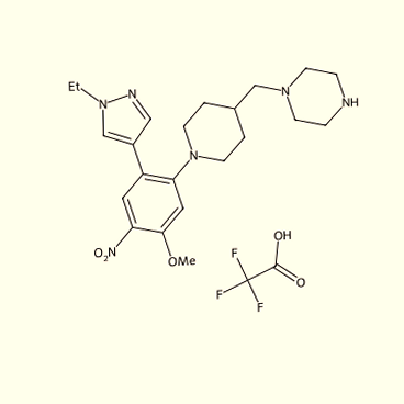 CCn1cc(-c2cc([N+](=O)[O-])c(OC)cc2N2CCC(CN3CCNCC3)CC2)cn1.O=C(O)C(F)(F)F